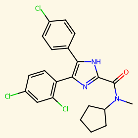 CN(C(=O)c1nc(-c2ccc(Cl)cc2Cl)c(-c2ccc(Cl)cc2)[nH]1)C1CCCC1